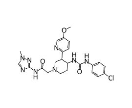 COc1ccc(C2CN(CC(=O)Nc3ncn(C)n3)CCC2NC(=O)Nc2ccc(Cl)cc2)nc1